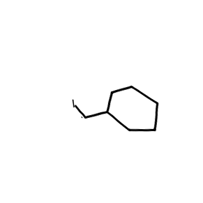 I[CH]C1CCCCC1